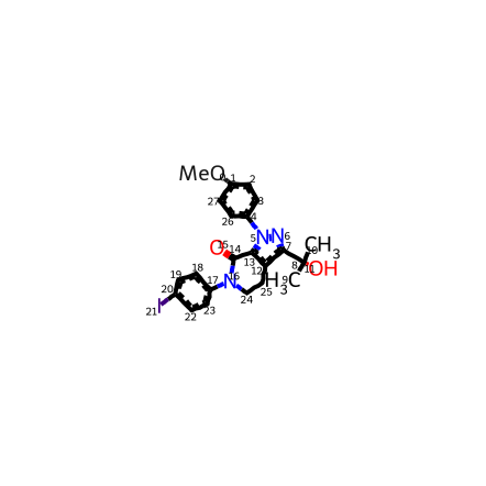 COc1ccc(-n2nc(C(C)(C)O)c3c2C(=O)N(c2ccc(I)cc2)CC3)cc1